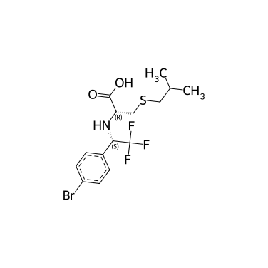 CC(C)CSC[C@H](N[C@@H](c1ccc(Br)cc1)C(F)(F)F)C(=O)O